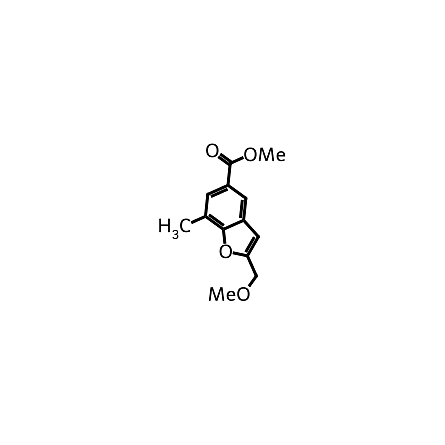 COCc1cc2cc(C(=O)OC)cc(C)c2o1